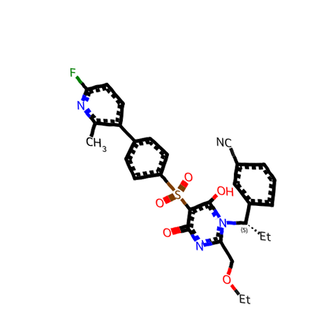 CCOCc1nc(=O)c(S(=O)(=O)c2ccc(-c3ccc(F)nc3C)cc2)c(O)n1[C@@H](CC)c1cccc(C#N)c1